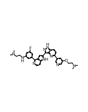 CN(C)CCNc1cc(F)cc(-c2nccc3[nH]c(-c4n[nH]c5ccc(-c6cncc(OCCN(C)C)c6)nc45)cc23)c1